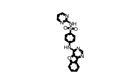 O=S(=O)(Nc1ncccn1)c1ccc(Nc2ncnc3c2oc2ccccc23)cc1